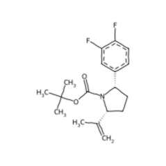 C=C(C)[C@H]1CC[C@@H](c2ccc(F)c(F)c2)N1C(=O)OC(C)(C)C